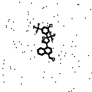 O=Cc1ccc(C2=NOC(c3cc(Cl)cc(C(F)(F)F)c3)(C(F)(F)F)C2)c2ccccc12